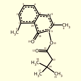 Cc1cccc2nc(C)n(OC(=O)CC(C)(C)C)c(=O)c12